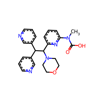 CN(C(=O)O)c1cccc(C(C(c2cccnc2)c2cccnc2)N2CCOCC2)n1